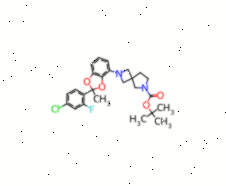 CC(C)(C)OC(=O)N1CCC2(C1)CN(c1cccc3c1OC(C)(c1ccc(Cl)cc1F)O3)C2